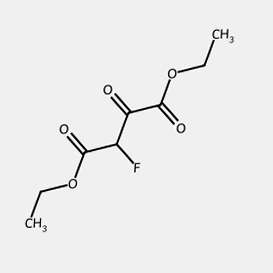 CCOC(=O)C(=O)C(F)C(=O)OCC